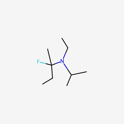 CCN(C(C)C)C(C)(F)CC